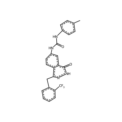 Cc1ccc(NC(=O)Nc2ccc3c(Cc4ccccc4C(F)(F)F)n[nH]c(=O)c3c2)cc1